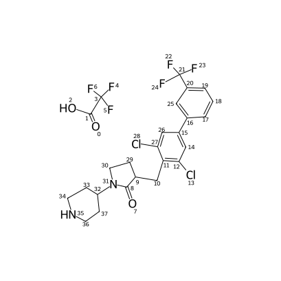 O=C(O)C(F)(F)F.O=C1C(Cc2c(Cl)cc(-c3cccc(C(F)(F)F)c3)cc2Cl)CCN1C1CCNCC1